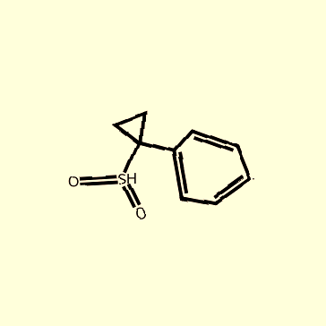 O=[SH](=O)C1(c2cc[c]cc2)CC1